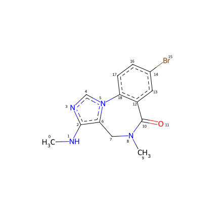 CNc1ncn2c1CN(C)C(=O)c1cc(Br)ccc1-2